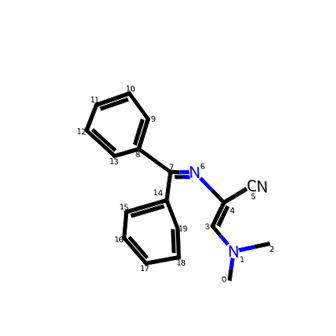 CN(C)C=C(C#N)N=C(c1ccccc1)c1ccccc1